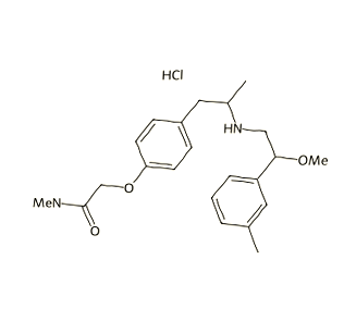 CNC(=O)COc1ccc(CC(C)NCC(OC)c2cccc(C)c2)cc1.Cl